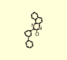 Clc1nc2ccc3ccccc3c2nc1-c1cccc(-c2ccccc2)c1